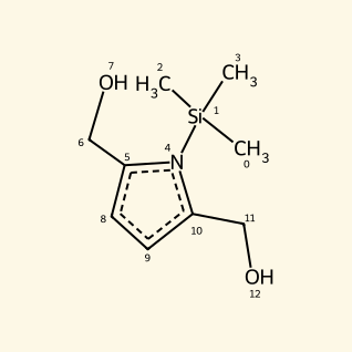 C[Si](C)(C)n1c(CO)ccc1CO